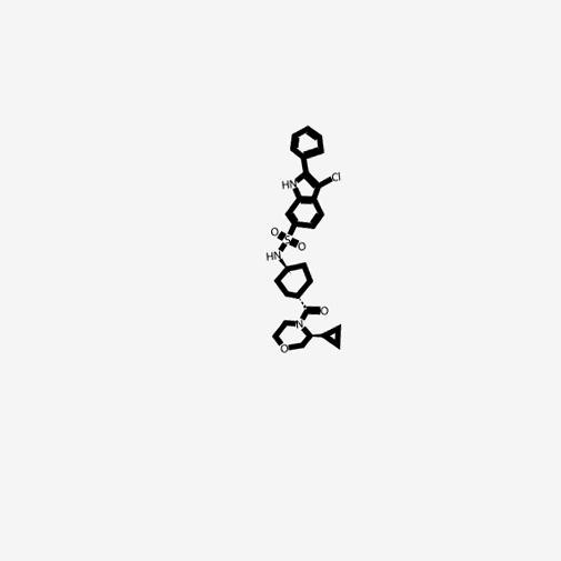 O=C([C@H]1CC[C@H](NS(=O)(=O)c2ccc3c(Cl)c(-c4ccccc4)[nH]c3c2)CC1)N1CCOC[C@@H]1C1CC1